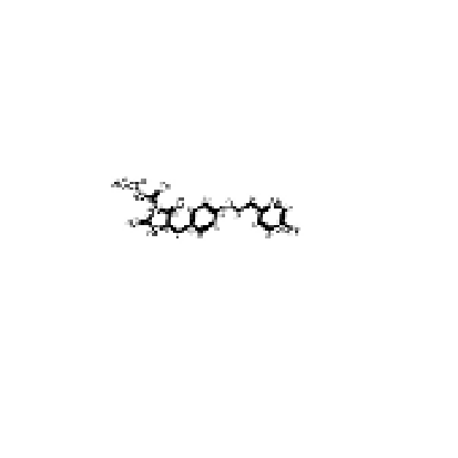 CCCCCCCCOC(=O)N1C(=O)SC(Cc2ccc(OCCc3ccc(CC)cn3)cc2)C1=O